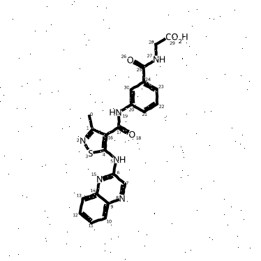 Cc1nsc(Nc2cnc3ccccc3n2)c1C(=O)Nc1cccc(C(=O)NCC(=O)O)c1